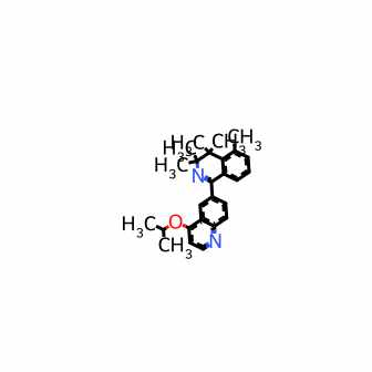 Cc1cccc2c1C(C)(C)C(C)(C)N=C2c1ccc2nccc(OC(C)C)c2c1